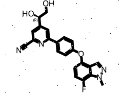 Cn1ncc2c(Oc3ccc(-c4cc([C@@H](O)CO)cc(C#N)n4)cc3)ccc(F)c21